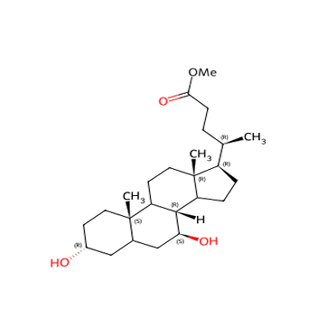 COC(=O)CC[C@@H](C)[C@H]1CCC2[C@H]3C(CC[C@@]21C)[C@@]1(C)CC[C@@H](O)CC1C[C@@H]3O